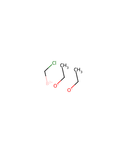 CC[O-].CC[O-].[B+2]CCl